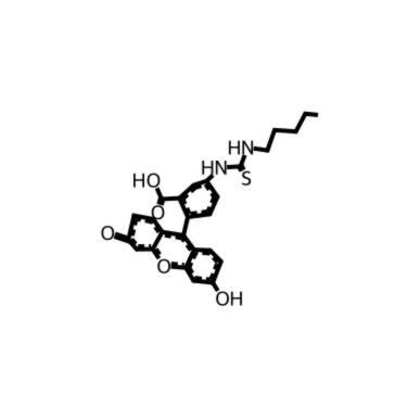 CCCCCNC(=S)Nc1ccc(-c2c3ccc(=O)cc-3oc3cc(O)ccc23)c(C(=O)O)c1